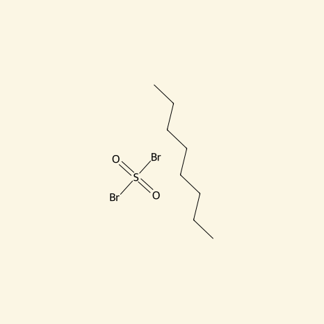 CCCCCCCC.O=S(=O)(Br)Br